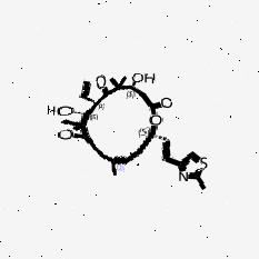 CC[C@H]1C(=O)C(C)(C)[C@@H](O)CC(=O)O[C@H](C=Cc2csc(C)n2)C/C=C(/C)CCC2OC2(C)[C@@H]1O